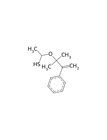 C=C(c1ccccc1)C(C)(C)OC(C)S